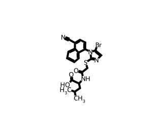 CC(C)CC(NC(=O)CSc1ncc(Br)n1-c1ccc(C#N)c2ccccc12)C(=O)O